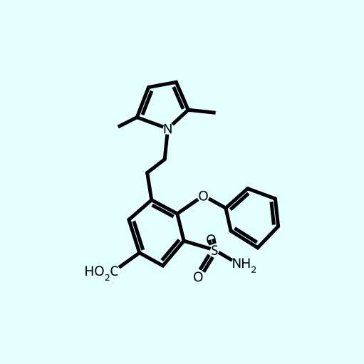 Cc1ccc(C)n1CCc1cc(C(=O)O)cc(S(N)(=O)=O)c1Oc1ccccc1